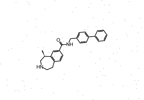 C[C@@H]1CNCCc2ccc(C(=O)NCc3ccc(-c4ccccc4)cc3)cc21